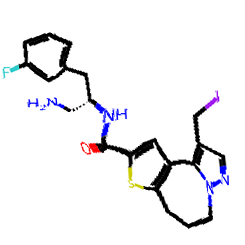 NC[C@H](Cc1cccc(F)c1)NC(=O)c1cc2c(s1)CCCn1ncc(CI)c1-2